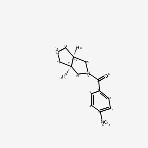 O=C(c1ccc([N+](=O)[O-])cc1)N1C[C@H]2COC[C@H]2C1